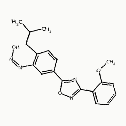 COc1ccccc1-c1noc(-c2ccc(CC(C)C)c(/N=N\O)c2)n1